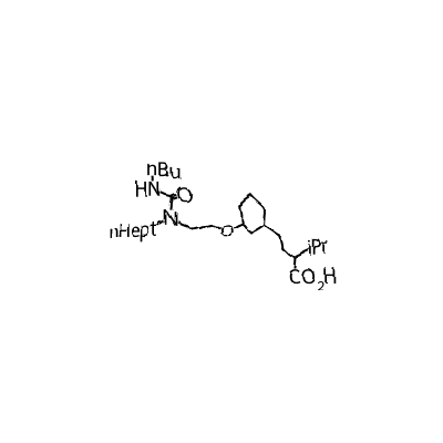 CCCCCCCN(CCOC1CCCC(CCC(C(=O)O)C(C)C)C1)C(=O)NCCCC